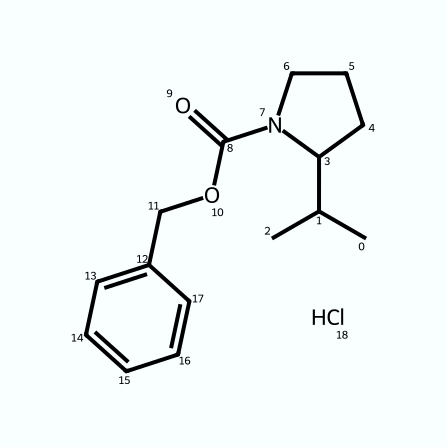 CC(C)C1CCCN1C(=O)OCc1ccccc1.Cl